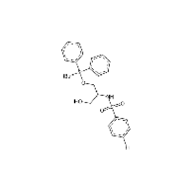 CC(C)(C)[Si](OCC(CO)NS(=O)(=O)c1ccc(Cl)cc1)(c1ccccc1)c1ccccc1